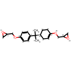 CC(C)(c1ccc(OCC2CO2)cc1)[C@@H]1CC=C(OCC2CO2)CC1